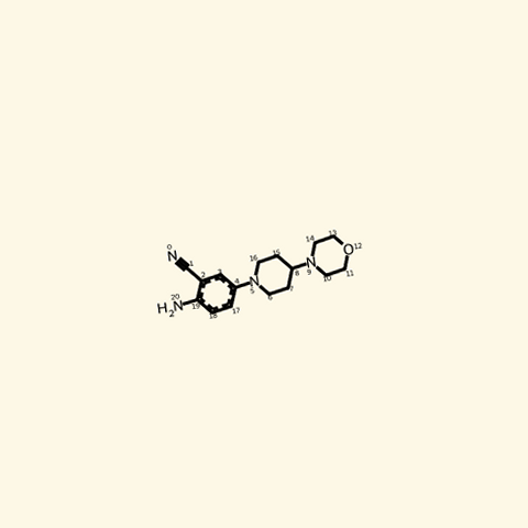 N#Cc1cc(N2CCC(N3CCOCC3)CC2)ccc1N